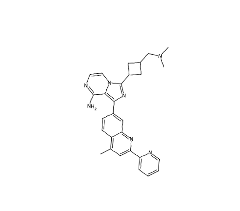 Cc1cc(-c2ccccn2)nc2cc(-c3nc(C4CC(CN(C)C)C4)n4ccnc(N)c34)ccc12